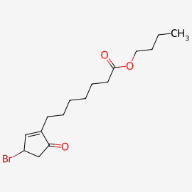 CCCCOC(=O)CCCCCCC1=CC(Br)CC1=O